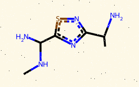 CNC(N)c1nc(C(C)N)ns1